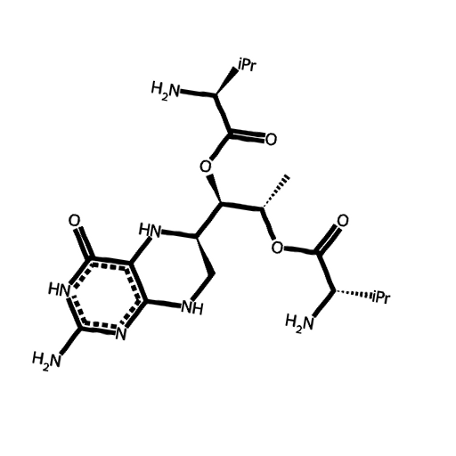 CC(C)[C@H](N)C(=O)O[C@@H]([C@H](C)OC(=O)[C@@H](N)C(C)C)[C@H]1CNc2nc(N)[nH]c(=O)c2N1